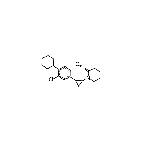 O=C=C1CCCCN1C1CC1c1ccc(C2CCCCC2)c(Cl)c1